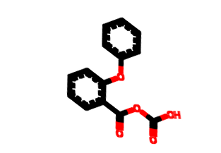 O=C(O)OC(=O)c1ccccc1Oc1ccccc1